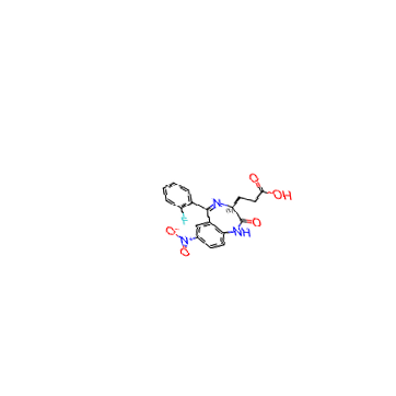 O=C(O)CC[C@@H]1N=C(c2ccccc2F)c2cc([N+](=O)[O-])ccc2NC1=O